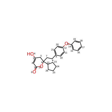 O=C1C=C(O)CC(CCc2ccc(Oc3ccccc3)cc2)(C2CCCC2)O1